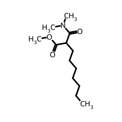 CCCCCCCC(C(=O)OC)C(=O)N(C)C